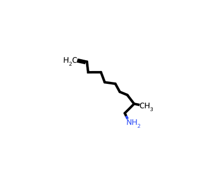 C=CCCCCCCC(C)CN